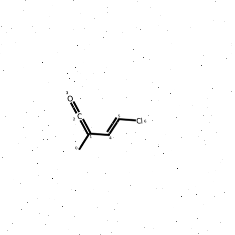 CC(=C=O)C=CCl